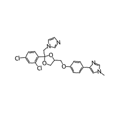 Cn1cnc(-c2ccc(OCC3COC(Cn4ccnc4)(c4ccc(Cl)cc4Cl)O3)cc2)c1